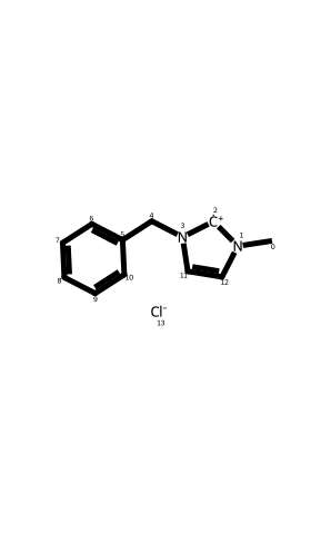 CN1[C+]N(Cc2ccccc2)C=C1.[Cl-]